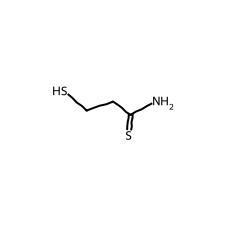 NC(=S)CCS